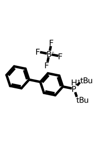 CC(C)(C)[PH+](c1ccc(-c2ccccc2)cc1)C(C)(C)C.F[B-](F)(F)F